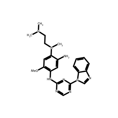 COc1cc(N(C)CCN(C)C)c(N)cc1Nc1ncnc(-n2cnc3ccccc32)n1